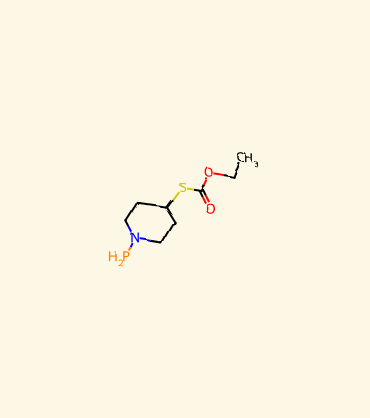 CCOC(=O)SC1CCN(P)CC1